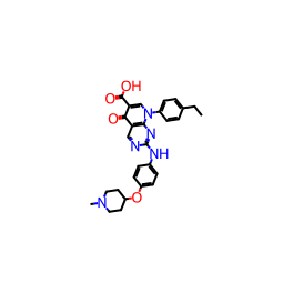 CCc1ccc(-n2cc(C(=O)O)c(=O)c3cnc(Nc4ccc(OC5CCN(C)CC5)cc4)nc32)cc1